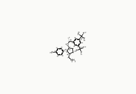 C[C@@H](O[C@H]1CC[C@@H](CN)[C@@H]1c1ccc(F)cc1)c1cc(C(F)(F)F)cc(C(F)(F)F)c1